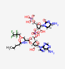 C=CCCC(=O)NC(COCC(F)(F)C(F)F)C(=O)O[C@H]1[C@@H](O)[C@H](n2cnc3c(N)ncnc32)O[C@@H]1COP(=O)(O)O[C@H]1[C@@H](O)[C@H](n2ccc(N)nc2=O)O[C@@H]1COP(=O)(O)O